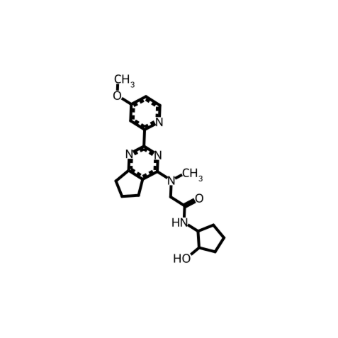 COc1ccnc(-c2nc3c(c(N(C)CC(=O)NC4CCCC4O)n2)CCC3)c1